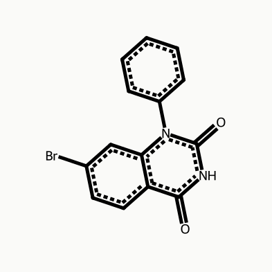 O=c1[nH]c(=O)n(-c2ccccc2)c2cc(Br)ccc12